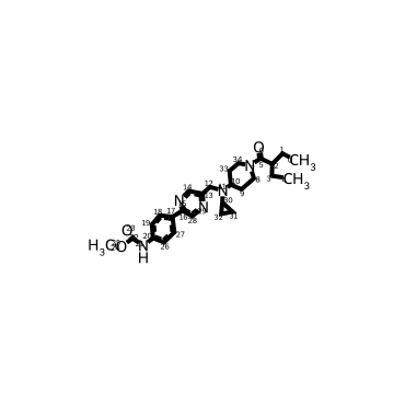 CCC(CC)C(=O)N1CCC(N(Cc2cnc(-c3ccc(NC(=O)OC)cc3)cn2)C2CC2)CC1